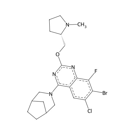 CN1CCC[C@H]1COc1nc(N2CC3CCC(C3)C2)c2cc(Cl)c(Br)c(F)c2n1